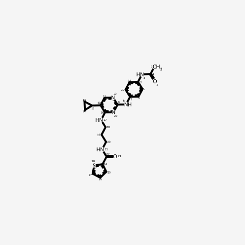 CC(=O)Nc1ccc(Nc2ncc(C3CC3)c(NCCCNC(=O)c3cccs3)n2)cc1